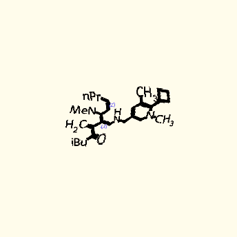 C=C(C(=O)C(C)CC)/C(=C/NCC1=CC(C)=C(C2CCC2)N(C)C1)C(/C=C\CCC)NC